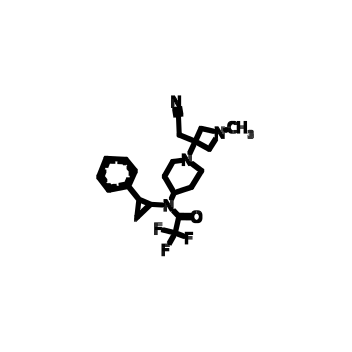 CN1CC(CC#N)(N2CCC(N(C(=O)C(F)(F)F)C3CC3c3ccccc3)CC2)C1